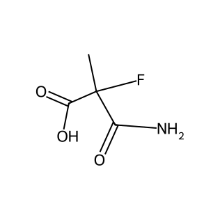 CC(F)(C(N)=O)C(=O)O